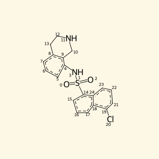 O=S(=O)(Nc1cccc2c1CNCC2)c1cccc2c(Cl)cccc12